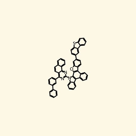 c1ccc(-c2cccc(-c3nc(-n4c5ccccc5c5c6ccccc6c6c7ccc(-c8ccc9sc%10ccccc%10c9c8)cc7oc6c54)nc4c3ccc3ccccc34)c2)cc1